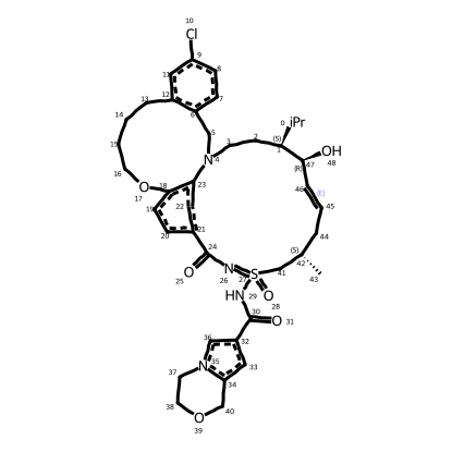 CC(C)[C@@H]1CCN2Cc3ccc(Cl)cc3CCCCOc3ccc(cc32)C(=O)N=S(=O)(NC(=O)c2cc3n(c2)CCOC3)C[C@@H](C)C/C=C/[C@@H]1O